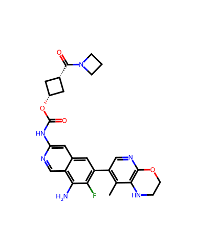 Cc1c(-c2cc3cc(NC(=O)O[C@H]4C[C@@H](C(=O)N5CCC5)C4)ncc3c(N)c2F)cnc2c1NCCO2